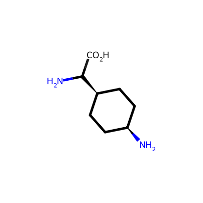 NC(C(=O)O)[C@H]1CC[C@@H](N)CC1